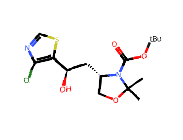 CC(C)(C)OC(=O)N1[C@@H](C[C@@H](O)c2scnc2Cl)COC1(C)C